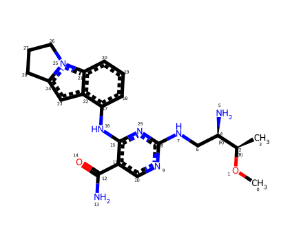 CO[C@H](C)[C@H](N)CNc1ncc(C(N)=O)c(Nc2cccc3c2cc2n3CCC2)n1